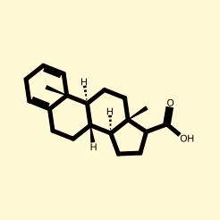 C[C@]12C=CCC=C1CC[C@@H]1[C@@H]2CC[C@]2(C)C(C(=O)O)CC[C@@H]12